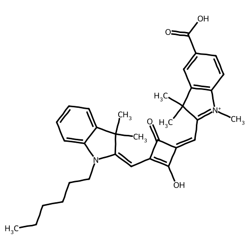 CCCCCCN1/C(=C/C2=C(O)C(=C/C3=[N+](C)c4ccc(C(=O)O)cc4C3(C)C)/C2=O)C(C)(C)c2ccccc21